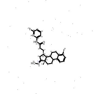 C[C@]12CCC3c4cccc(F)c4CCC3C1[C@H](CCC(=O)Nc1cccc(F)n1)C/C2=N\O